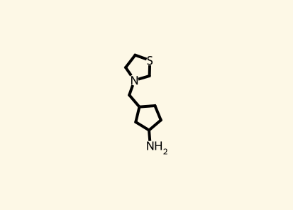 NC1CCC(CN2CCSC2)C1